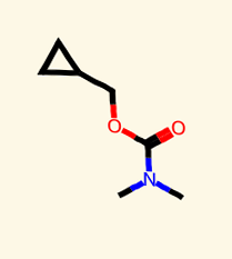 CN(C)C(=O)OCC1CC1